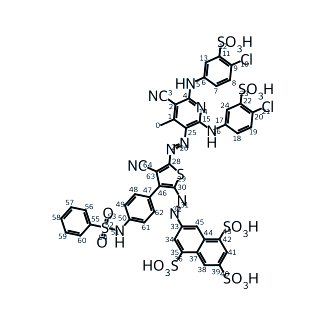 Cc1c(C#N)c(Nc2ccc(Cl)c(S(=O)(=O)O)c2)nc(Nc2ccc(Cl)c(S(=O)(=O)O)c2)c1N=Nc1sc(N=Nc2cc(S(=O)(=O)O)c3cc(S(=O)(=O)O)cc(S(=O)(=O)O)c3c2)c(-c2ccc(NS(=O)(=O)c3ccccc3)cc2)c1C#N